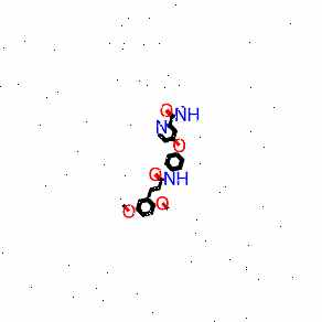 CNC(=O)c1cc(Oc2ccc(NC(=O)C=Cc3cc(OC)ccc3OC)cc2)ccn1